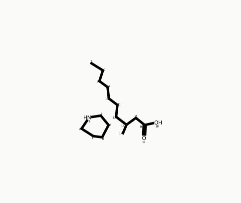 C1CCNCC1.CCCCCCCC(C)CC(=O)O